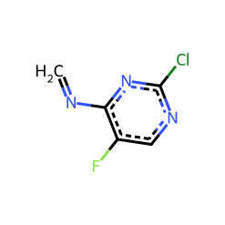 C=Nc1nc(Cl)ncc1F